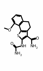 COc1cccc2c1-c1sc(NC(N)=O)c(C(N)=O)c1CC2